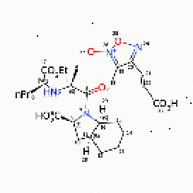 CCC[C@H](N[C@@H](C)C(=O)N1[C@H](C(=O)O)C[C@@H]2CCCC[C@@H]21)C(=O)OCC.Cc1c(C=CC(=O)O)no[n+]1[O-]